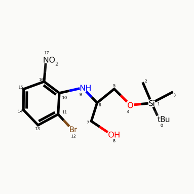 CC(C)(C)[Si](C)(C)OCC(CO)Nc1c(Br)cccc1[N+](=O)[O-]